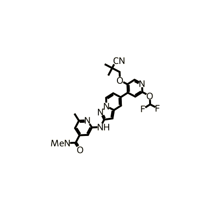 CNC(=O)c1cc(C)nc(Nc2cc3cc(-c4cc(OC(F)F)ncc4OCC(C)(C)C#N)ccn3n2)c1